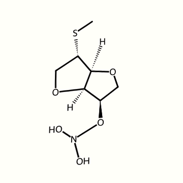 CS[C@H]1CO[C@H]2[C@@H]1OC[C@H]2ON(O)O